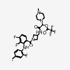 CN1CCN(C(OC(=O)C(F)(F)F)C(=O)NC2CN(C(=O)c3ccc(F)c(F)c3Nc3ccc(I)cc3F)C2)CC1